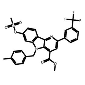 COC(=O)c1cc(-c2cccc(C(F)(F)F)c2)nc2c3ccc(OS(C)(=O)=O)cc3n(Cc3ccc(C)cc3)c12